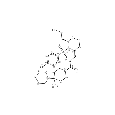 CCC[C@H]1CCC[C@@H](COC(=O)N2CCC(C)(N3CCCCC3)CC2)N1S(=O)(=O)c1ccc(Cl)cc1